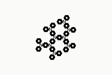 c1ccc(N(c2ccccc2)c2ccc(N(c3ccccc3)c3ccc(N(c4ccc(N(c5ccccc5)c5ccccc5)cc4)c4ccc(N(c5ccc(N(c6ccccc6)c6ccccc6)cc5)c5ccc(N(c6ccc(N(c7ccccc7)c7ccccc7)cc6)c6ccc(N(c7ccccc7)c7ccccc7)cc6)cc5)cc4)cc3)cc2)cc1